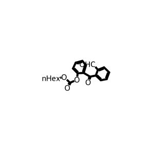 CCCCCCOC(=O)Oc1ccccc1C(=O)c1ccccc1[C]=O